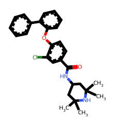 CC1(C)CC(NC(=O)c2ccc(Oc3ccccc3-c3ccccc3)c(Cl)c2)CC(C)(C)N1